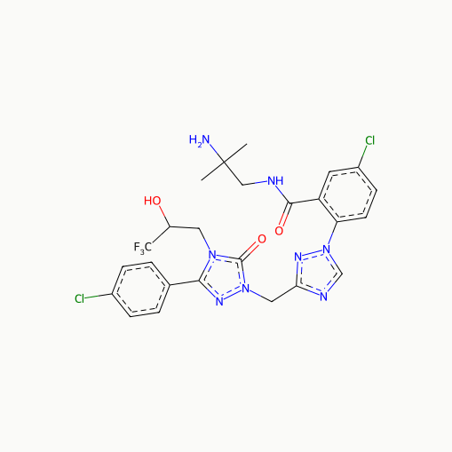 CC(C)(N)CNC(=O)c1cc(Cl)ccc1-n1cnc(Cn2nc(-c3ccc(Cl)cc3)n(CC(O)C(F)(F)F)c2=O)n1